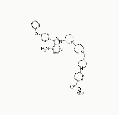 CC(C)(C)OC(=O)c1ccc(N2CCC(CN3CCC(N4CCCC(n5nc(-c6ccc(Oc7ccccc7)cc6)c6c(N)ncnc65)C4)CC3)CC2)cc1